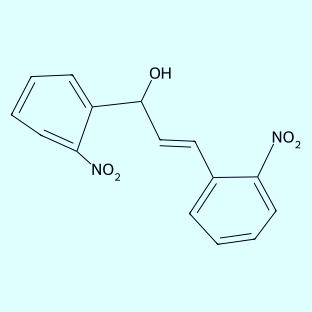 O=[N+]([O-])c1ccccc1C=CC(O)c1ccccc1[N+](=O)[O-]